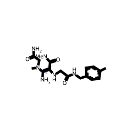 CNC(=O)/C(NCC(=O)NCc1ccc(C)cc1)=C(/N)N(C)CC(N)=O